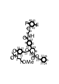 COCCCN1C(=O)COc2ccc(COC3CN(C(=O)OCc4ccccc4)CCC3c3ccc(C(=O)NCCOc4cc(F)ccc4F)cc3)cc21